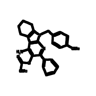 COC(=O)Oc1c(-c2ccccc2)nc2c(c1N)c1c(n2Cc2ccc(OC)cc2)CCCC1